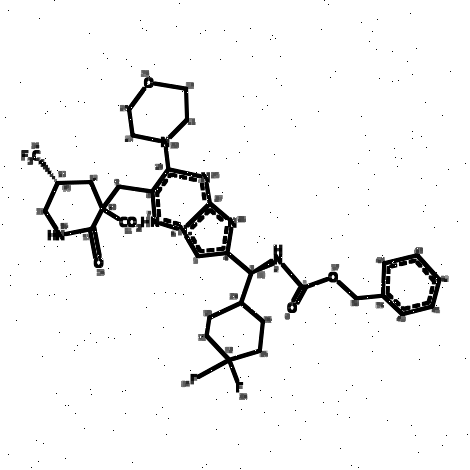 O=C(N[C@H](c1cn2nc(CC3(C(=O)O)C[C@@H](C(F)(F)F)CNC3=O)c(N3CCOCC3)nc2n1)C1CCC(F)(F)CC1)OCc1ccccc1